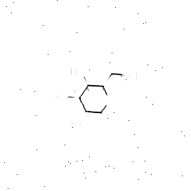 OC[C@H]1O[CH][C@H](O)[C@@H](O)[C@H]1O